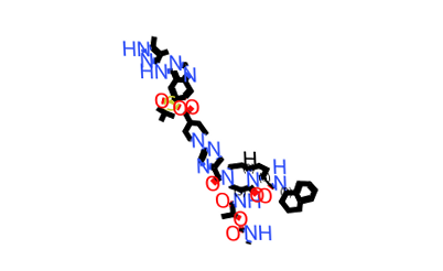 CNC(=O)OC(C)C(=O)N[C@H]1CN(C(=O)c2cnc(N3CCC(COc4cc5ncnc(Nc6n[nH]c(C)c6C)c5cc4S(=O)(=O)C(C)(C)C)CC3)cn2)CC[C@H]2CC[C@@H](C(=O)N[C@@H]3CCCc4ccccc43)N2C1=O